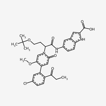 CCC(=O)c1ccc(Cl)cc1-c1cc(=O)n(C(CCOC(C)(C)C)C(=O)Nc2ccc3[nH]c(C(=O)O)cc3c2)cc1OC